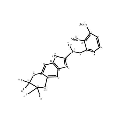 COc1ccnc(C[S+]([O-])c2nc3cc4c(cc3[nH]2)OC(F)(F)C(F)(F)O4)c1OC